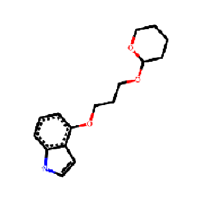 C1=Cc2c(cccc2OCCCOC2CCCCO2)[N]1